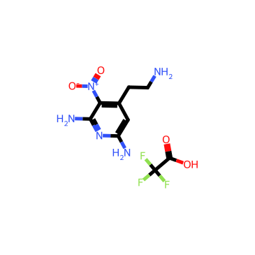 NCCc1cc(N)nc(N)c1[N+](=O)[O-].O=C(O)C(F)(F)F